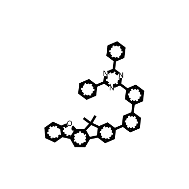 CC1(C)c2cc(-c3cccc(-c4cccc(-c5nc(-c6ccccc6)nc(-c6ccccc6)n5)c4)c3)ccc2-c2ccc3c(oc4ccccc43)c21